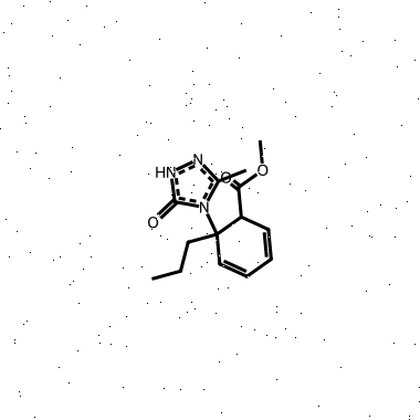 CCCC1(n2c(C)n[nH]c2=O)C=CC=CC1C(=O)OC